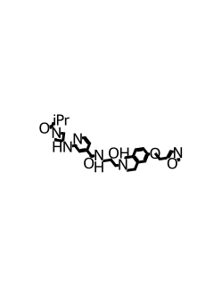 CC(C)C(=O)N1CC(Nc2cc(C(=O)NC[C@H](O)CN3CCc4cc(OCc5cnco5)ccc4C3)ccn2)C1